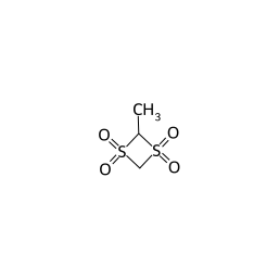 CC1S(=O)(=O)CS1(=O)=O